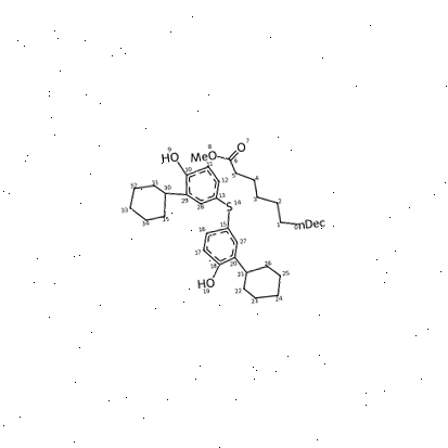 CCCCCCCCCCCCCCCC(=O)OC.Oc1ccc(Sc2ccc(O)c(C3CCCCC3)c2)cc1C1CCCCC1